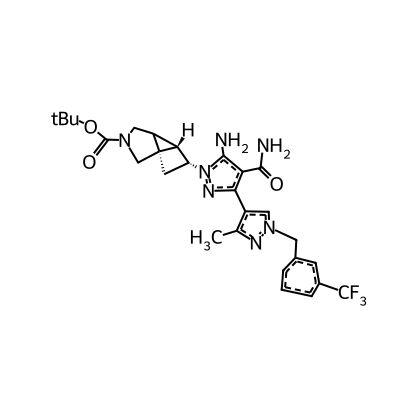 Cc1nn(Cc2cccc(C(F)(F)F)c2)cc1-c1nn([C@@H]2C[C@]34CN(C(=O)OC(C)(C)C)CC3[C@H]24)c(N)c1C(N)=O